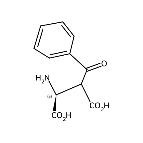 N[C@H](C(=O)O)C(C(=O)O)C(=O)c1ccccc1